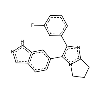 Fc1cccc(-c2nc3n(c2-c2ccc4cn[nH]c4c2)CCC3)c1